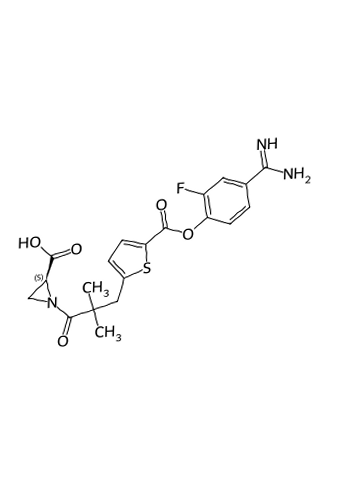 CC(C)(Cc1ccc(C(=O)Oc2ccc(C(=N)N)cc2F)s1)C(=O)N1C[C@H]1C(=O)O